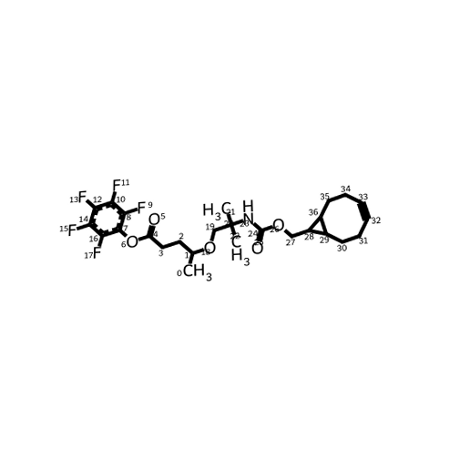 CC(CCC(=O)Oc1c(F)c(F)c(F)c(F)c1F)OCC(C)(C)NC(=O)OCC1C2CCC#CCCC21